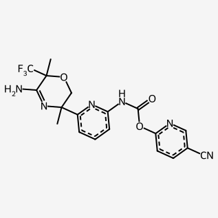 CC1(c2cccc(NC(=O)Oc3ccc(C#N)cn3)n2)COC(C)(C(F)(F)F)C(N)=N1